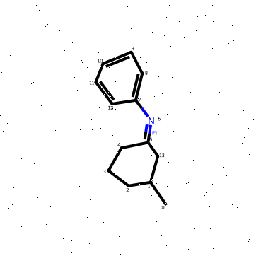 CC1CCC/C(=N\c2ccccc2)C1